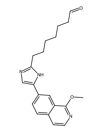 COc1nccc2ccc(-c3cnc(CCCCCCC=O)[nH]3)cc12